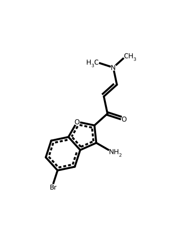 CN(C)C=CC(=O)c1oc2ccc(Br)cc2c1N